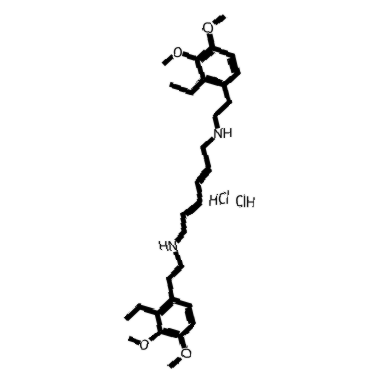 CCc1c(CCNCC=CC=CCNCCc2ccc(OC)c(OC)c2CC)ccc(OC)c1OC.Cl.Cl